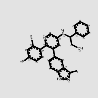 Cc1n[nH]c2ccc(-c3cc(NC(CO)c4ccccc4)cnc3-c3ccc(F)cc3F)cc12